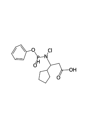 O=C(O)CC(C1CCCC1)N(Cl)[PH](=O)Oc1ccccc1